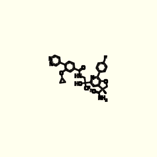 C[C@]1(C(N)=O)COc2c1cc(C(O)(CNC(=O)c1ccc(-c3ccnnc3)c(OC3CC3)c1)C(F)(F)F)nc2-c1ccc(F)cc1